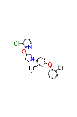 CCc1ccccc1Oc1ccc(N2CCC(Oc3ncccc3Cl)C2)c(C)c1